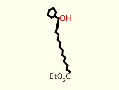 CCOC(=O)CCCCCCCCCCCCC#CC(O)C1CCCCC1